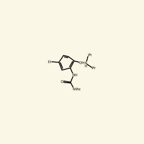 CC(C)NC(C)C.CCc1ccc(O)c(NC(=O)NC)c1